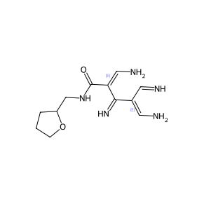 N=C/C(=C\N)C(=N)/C(=C\N)C(=O)NCC1CCCO1